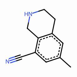 Cc1cc(C#N)c2c(c1)CCNC2